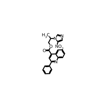 CC(COC(=O)c1cc(-c2ccccc2)nc2ccccc12)n1cncc1[N+](=O)[O-]